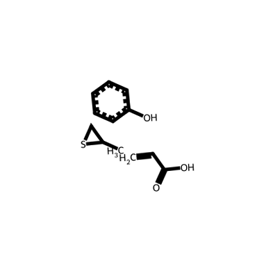 C=CC(=O)O.CC1CS1.Oc1ccccc1